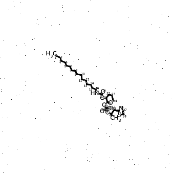 CCCCCCCCCCCCCCCCCNC(=O)O[C@@H]1CCCO[C@H]1OP(=O)(O)OC(C)Cc1nccs1